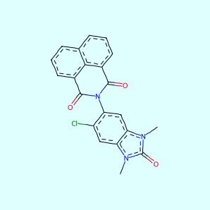 Cn1c(=O)n(C)c2cc(N3C(=O)c4cccc5cccc(c45)C3=O)c(Cl)cc21